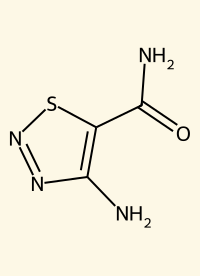 NC(=O)c1snnc1N